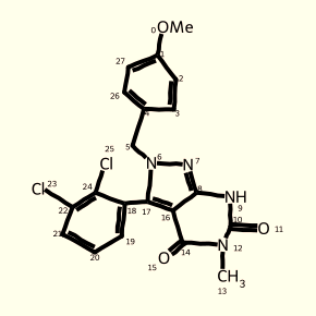 COc1ccc(Cn2nc3[nH]c(=O)n(C)c(=O)c3c2-c2cccc(Cl)c2Cl)cc1